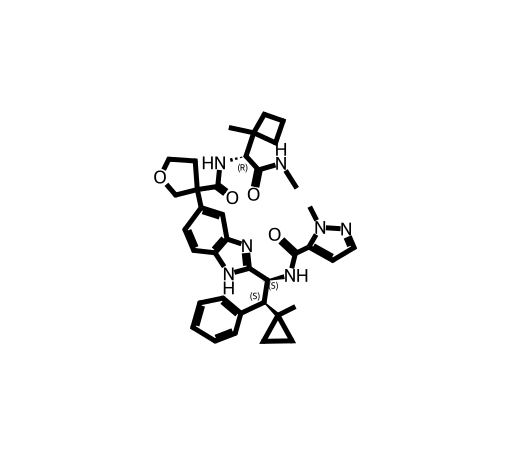 CNC(=O)[C@H](NC(=O)C1(c2ccc3[nH]c([C@@H](NC(=O)c4ccnn4C)[C@H](c4ccccc4)C4(C)CC4)nc3c2)CCOC1)C1(C)CCC1